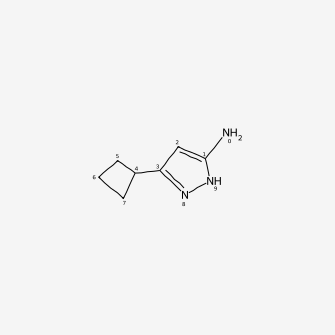 Nc1cc(C2CCC2)n[nH]1